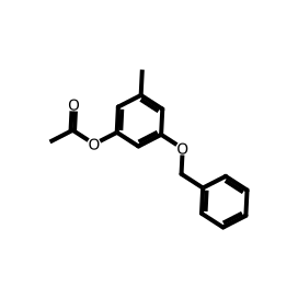 CC(=O)Oc1cc(C)cc(OCc2ccccc2)c1